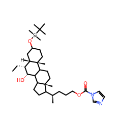 CC[C@H]1[C@@H](O)C2C3CCC([C@H](C)CCCOC(=O)n4ccnc4)[C@@]3(C)CCC2[C@@]2(C)CCC(O[Si](C)(C)C(C)(C)C)C[C@@H]12